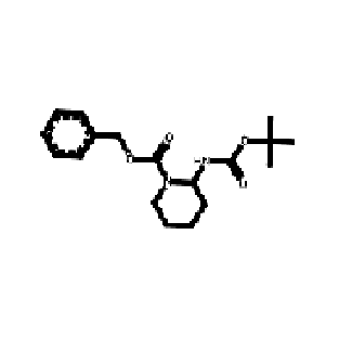 CC(C)(C)OC(=O)NC1CCCCN1C(=O)OCc1ccccc1